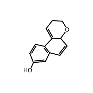 Oc1ccc2c(c1)C=CC1OCCC=C21